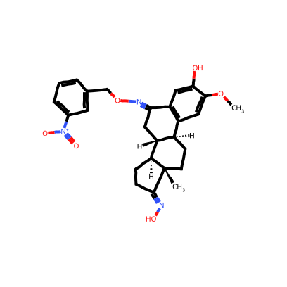 COc1cc2c(cc1O)C(=NOCc1cccc([N+](=O)[O-])c1)C[C@@H]1[C@@H]2CC[C@]2(C)C(=NO)CC[C@@H]12